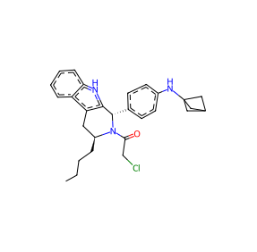 CCCC[C@H]1Cc2c([nH]c3ccccc23)[C@H](c2ccc(NC34CC(C3)C4)cc2)N1C(=O)CCl